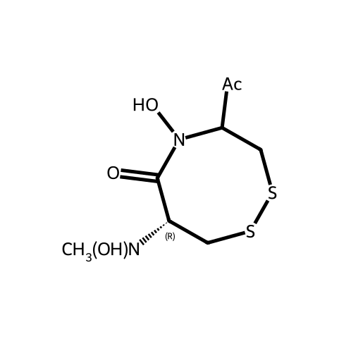 CC(=O)C1CSSC[C@H](N(C)O)C(=O)N1O